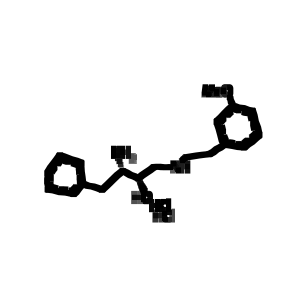 COc1cccc(CCNC[C@@H](O)[C@@H](N)Cc2ccccc2)c1.Cl.Cl